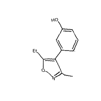 CCc1onc(C)c1-c1[c]ccc(O)c1